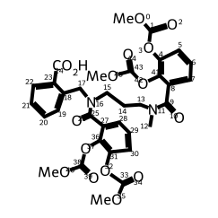 COC(=O)Oc1cccc(C(=O)N(C)CCCN(Cc2ccccc2C(=O)O)C(=O)c2cccc(OC(=O)OC)c2OC(=O)OC)c1OC(=O)OC